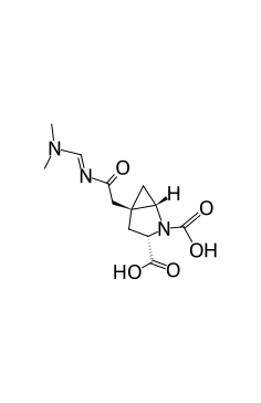 CN(C)/C=N/C(=O)C[C@@]12C[C@@H]1N(C(=O)O)[C@H](C(=O)O)C2